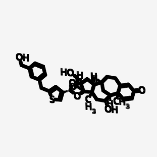 C[C@]12C=CC(=O)C=C1CC[C@@H]1C[C@@H]2[C@@H](O)C[C@@]2(C)[C@H]1C[C@H]1O[C@@H](c3csc(Cc4cccc(CO)c4)c3)O[C@]12C(=O)CO